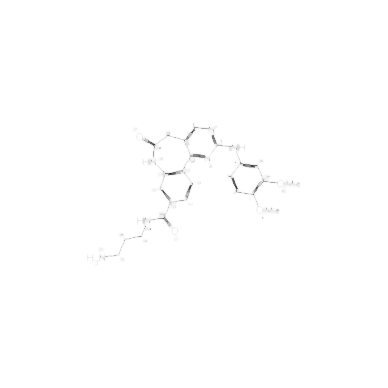 COc1ccc(Nc2ncc3c(n2)-c2ccc(C(=O)NCCCN)cc2NC(=O)C3)cc1OC